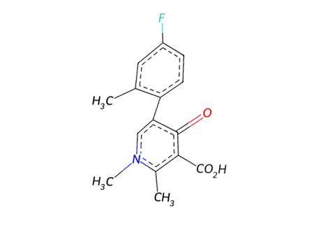 Cc1cc(F)ccc1-c1cn(C)c(C)c(C(=O)O)c1=O